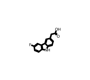 O=C(O)Cc1ccc2[nH]c3ccc(F)cc3c2c1